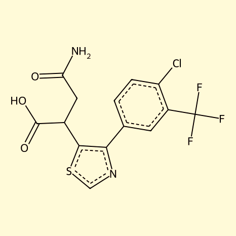 NC(=O)CC(C(=O)O)c1scnc1-c1ccc(Cl)c(C(F)(F)F)c1